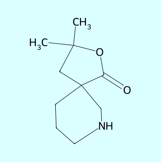 CC1(C)CC2(CCCNC2)C(=O)O1